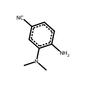 CN(C)c1cc(C#N)ccc1N